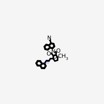 CC12CCC(C/C=C/c3cccc4ccccc34)(O1)C1C(=O)N(c3ccc(C#N)c4ccccc34)C(=O)C12